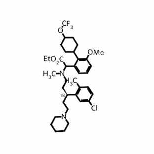 CCOC(=O)C(c1cccc(OC)c1C1CCC(OC(F)(F)F)CC1)N(C)CC[C@H](CCN1CCCCC1)c1cc(Cl)ccc1C